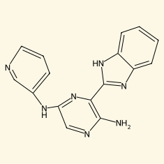 Nc1ncc(Nc2cccnc2)nc1-c1nc2ccccc2[nH]1